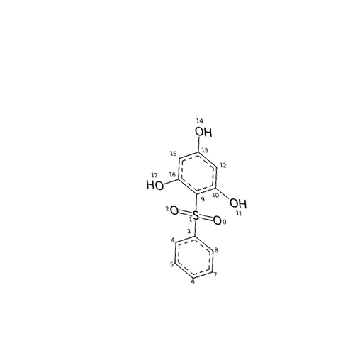 O=S(=O)(c1ccccc1)c1c(O)cc(O)cc1O